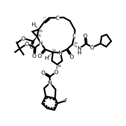 COC(=O)[C@@]12C[C@H]1/C=C\CCCCC[C@H](NC(=O)OC1CCCC1)C(=O)N1C[C@H](OC(=O)N3Cc4cccc(F)c4C3)C[C@H]1C(=O)N2C(=O)OC(C)(C)C